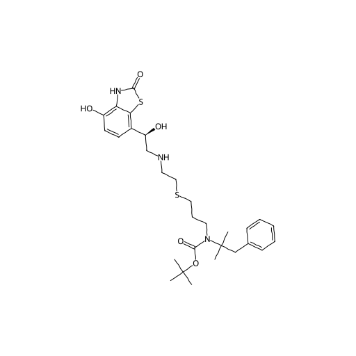 CC(C)(C)OC(=O)N(CCCSCCNC[C@H](O)c1ccc(O)c2[nH]c(=O)sc12)C(C)(C)Cc1ccccc1